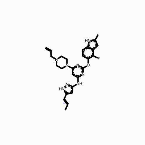 C=CCN1CCN(c2cc(Nc3cc(/C=C/C)[nH]n3)nc(Oc3ccc4[nH]c(C)cc4c3F)n2)CC1